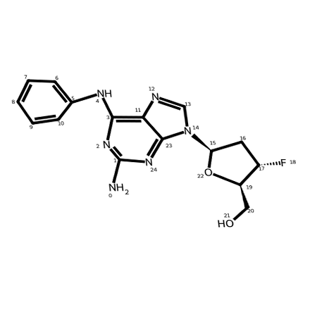 Nc1nc(Nc2ccccc2)c2ncn([C@H]3C[C@H](F)[C@@H](CO)O3)c2n1